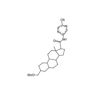 COCC1CCC2C(CCC3C2CCC2(C)C(C(=O)Nc4cnc(C#N)cn4)CCC32)C1